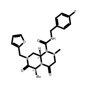 CCC(C)[C@H]1C(=O)N(Cc2ccco2)C[C@H]2N1C(=O)CN(C)N2C(=O)NCc1ccc(F)cc1